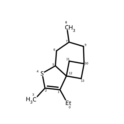 CCC1=C(C)SC2CC(C)CC3CC12C3